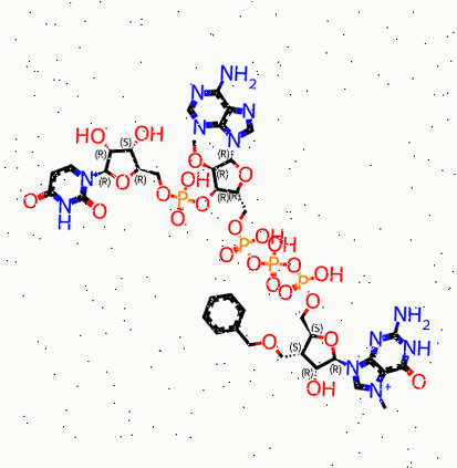 CO[C@@H]1[C@H](OP(=O)(O)OC[C@H]2O[C@@H](n3ccc(=O)[nH]c3=O)[C@H](O)[C@@H]2O)[C@@H](COP(=O)(O)OP(=O)(O)OP(=O)(O)OC[C@H]2O[C@@H](n3c[n+](C)c4c(=O)[nH]c(N)nc43)[C@H](O)[C@@H]2COCc2ccccc2)O[C@H]1n1cnc2c(N)ncnc21